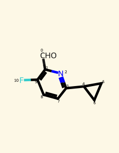 O=Cc1nc(C2CC2)ccc1F